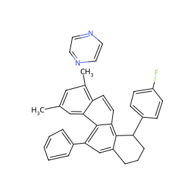 Cc1cc(C)c2ccc3c4c(cc(-c5ccccc5)c3c2c1)CCCC4c1ccc(F)cc1.c1cnccn1